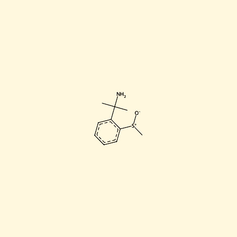 C[S+]([O-])c1ccccc1C(C)(C)N